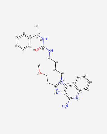 COCCc1nc2c(N)nc3ccccc3c2n1CCCCNC(=O)N[C@@H](C)c1ccccc1